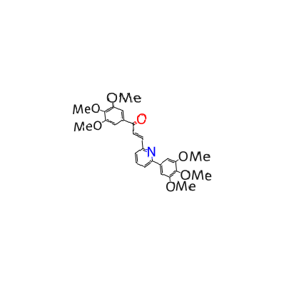 COc1cc(C(=O)C=Cc2cccc(-c3cc(OC)c(OC)c(OC)c3)n2)cc(OC)c1OC